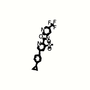 CS(=O)(=O)c1cc(-c2ccc(C3CC3)cc2)cnc1-c1nc2cc(C(F)(F)F)cnc2o1